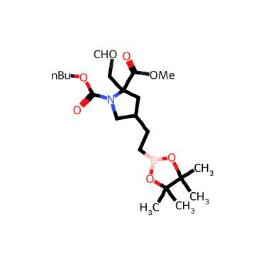 CCCCOC(=O)N1CC(CCB2OC(C)(C)C(C)(C)O2)CC1(CC=O)C(=O)OC